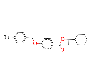 CCC(C)c1ccc(COc2ccc(C(=O)OC(C)(C)C3CCCCC3)cc2)cc1